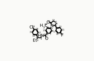 CCC(CNC(=O)c1ccc(N2C(=O)CSC2c2ccc(F)cc2)c(C)c1)c1ccc(Cl)cc1